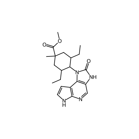 CCC1CC(C)(C(=O)OC)CC(CC)C1n1c(=O)[nH]c2cnc3[nH]ccc3c21